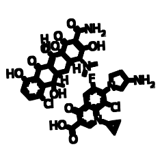 CN(C)[C@@H]1C(O)=C(C(N)=O)C(=O)[C@@]2(O)C(O)=C3C(=O)c4c(O)ccc(Cl)c4[C@@](C)(O)[C@H]3C[C@@H]12.NC1CCN(c2c(F)cc3c(=O)c(C(=O)O)cn(C4CC4)c3c2Cl)C1